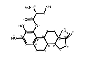 CC(=O)N[C@@H](CS)C(=O)Oc1c(O)c(O)cc2c1C1CC[C@]3(C)C(=O)CCC3C1CC2